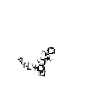 Cl.O=S(=O)(c1ccccc1)c1cnc2c(N3CCN(CC4CC4)CC3)cccc2c1